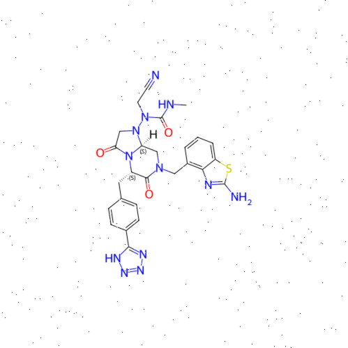 CNC(=O)N(CC#N)N1CC(=O)N2[C@@H](Cc3ccc(-c4nnn[nH]4)cc3)C(=O)N(Cc3cccc4sc(N)nc34)C[C@@H]21